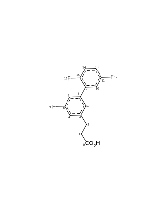 O=C(O)CCc1cc(F)cc(-c2cc(F)ccc2F)c1